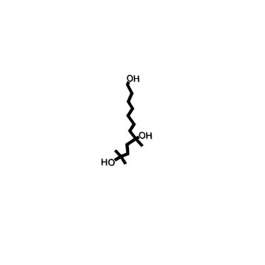 CC(C)(O)CCC(C)(O)CCCCCCCO